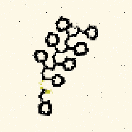 CC(CC(CC(CC(CC(CC(CC(SC(=S)Cc1ccccc1)c1ccccc1)c1ccccc1)c1ccccc1)c1ccccc1)c1ccccc1)c1ccccc1)c1ccccc1